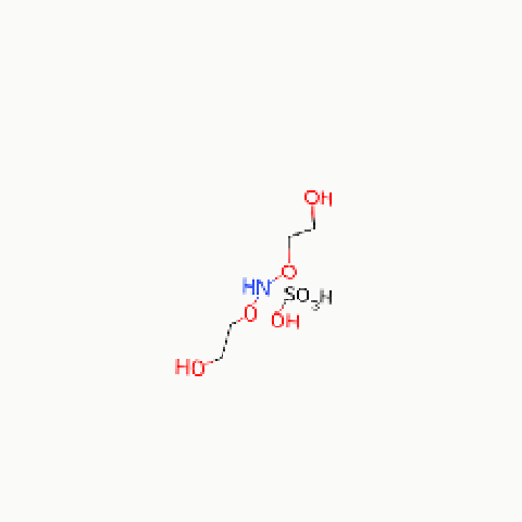 O=S(=O)(O)O.OCCONOCCO